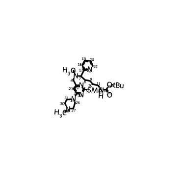 CSc1nc(CN(C)C(CCCCNC(=O)OC(C)(C)C)c2ccccn2)cc(N2CCN(C)CC2)n1